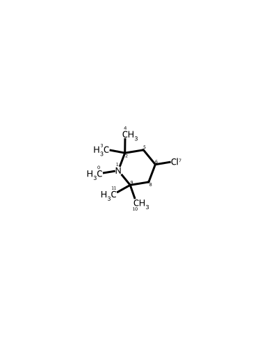 CN1C(C)(C)CC(Cl)CC1(C)C